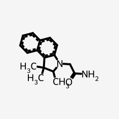 CC1N(CC(N)=O)c2ccc3ccccc3c2C1(C)C